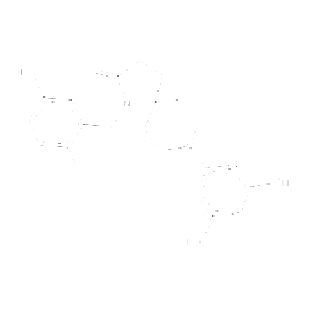 Cc1ccc(C)c(CN2C(=O)CCC23CCN(c2nc(C)cc(C)n2)CC3)c1